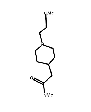 CNC(=O)CC1CCN(CCOC)CC1